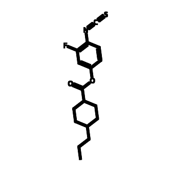 CCCC1CCC(C(=O)Oc2ccc(N=C=S)c(F)c2)CC1